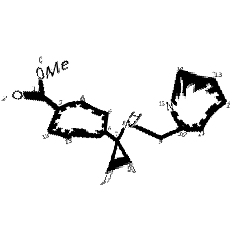 COC(=O)c1ccc(C2(NCc3ccccn3)CC2)cc1